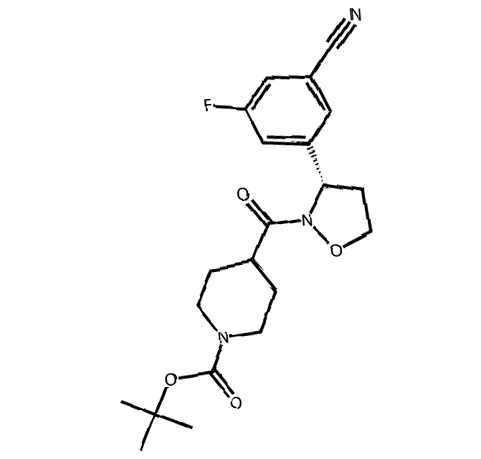 CC(C)(C)OC(=O)N1CCC(C(=O)N2OCC[C@H]2c2cc(F)cc(C#N)c2)CC1